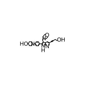 OCCC#Cc1cnc2[nH]c(-c3ccc(N4CCC(O)CC4)cc3)c(CN3CCOCC3)c2c1